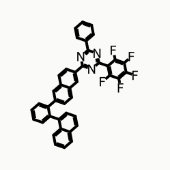 Fc1c(F)c(F)c(-c2nc(-c3ccccc3)nc(-c3ccc4cc(-c5ccccc5-c5cccc6ccccc56)ccc4c3)n2)c(F)c1F